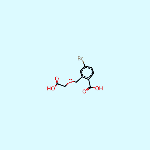 O=C(O)COCc1cc(Br)ccc1C(=O)O